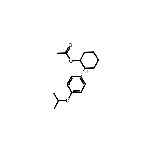 CC(=O)OC1CCCC[C@@H]1c1ccc(OC(C)C)cc1